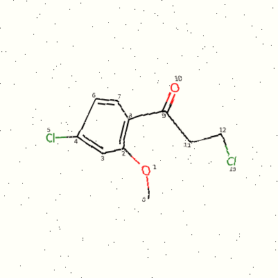 COc1cc(Cl)ccc1C(=O)CCCl